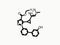 CCOC(=O)c1cnn(-c2cccc(-c3cccc(O)c3)c2)c1C1CC1/C(N)=C/N(C)N